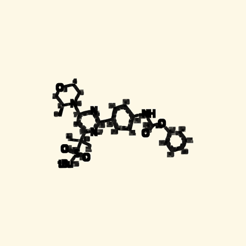 C[C@H]1COCCN1c1cc(C(C)(C)S(=O)(=O)C(C)(C)C)nc(-c2ccc(NC(=O)Oc3ccccc3)cc2)n1